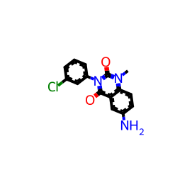 Cn1c(=O)n(-c2cccc(Cl)c2)c(=O)c2cc(N)ccc21